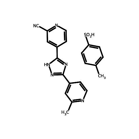 Cc1cc(-c2n[nH]c(-c3ccnc(C#N)c3)n2)ccn1.Cc1ccc(S(=O)(=O)O)cc1